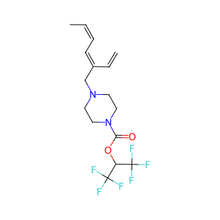 C=C/C(=C\C=C/C)CN1CCN(C(=O)OC(C(F)(F)F)C(F)(F)F)CC1